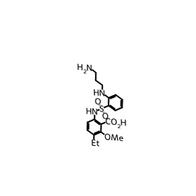 CCc1ccc(NS(=O)(=O)c2ccccc2NCCCN)c(C(=O)O)c1OC